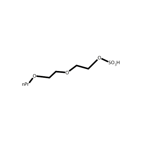 CCCOCCOCCOS(=O)(=O)O